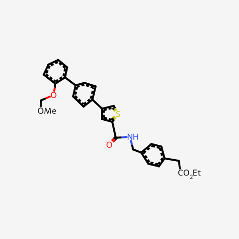 CCOC(=O)Cc1ccc(CNC(=O)c2cc(-c3ccc(-c4ccccc4OCOC)cc3)cs2)cc1